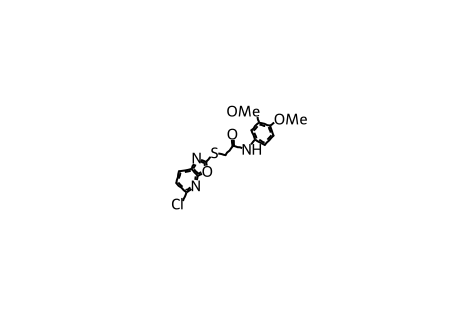 COc1ccc(NC(=O)CSc2nc3ccc(Cl)nc3o2)cc1OC